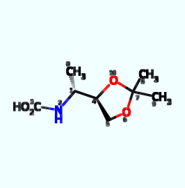 C[C@@H](NC(=O)O)[C@@H]1COC(C)(C)O1